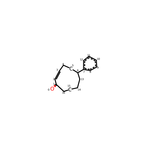 O=C1/C=C\CCC(c2ccccc2)CCCC1